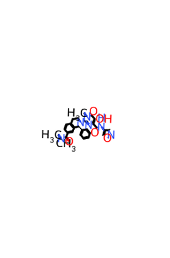 CN(C)C(=O)c1ccc2c(c1)[C@H](c1ccccc1)N(c1nc(C(=O)Nc3cnoc3)c(O)c(=O)n1C)CC2